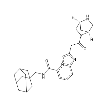 O=C(NCC12CC3CC(CC(C3)C1)C2)c1cccc2nc(CC(=O)N3C[C@@H]4C[C@H]3CN4)cn12